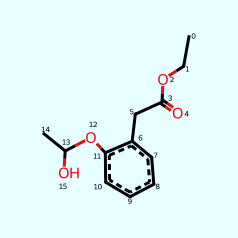 CCOC(=O)Cc1ccccc1OC(C)O